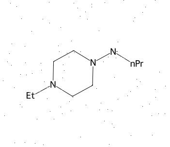 CCC[N]N1CCN(CC)CC1